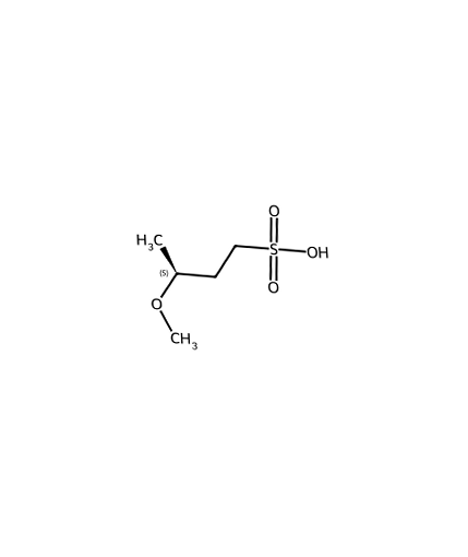 CO[C@@H](C)CCS(=O)(=O)O